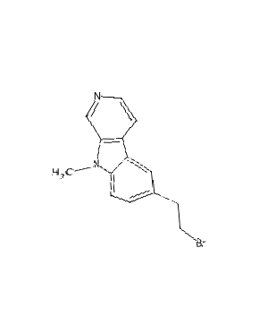 Cn1c2ccc(CCBr)cc2c2ccncc21